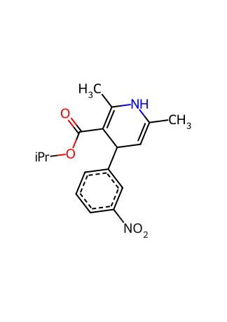 CC1=CC(c2cccc([N+](=O)[O-])c2)C(C(=O)OC(C)C)=C(C)N1